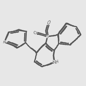 O=S1(=O)C2=C(NC=CC2c2cccnc2)c2ccccc21